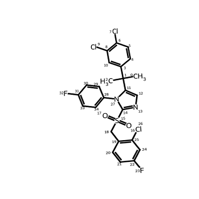 CC(C)(c1ccc(Cl)c(Cl)c1)c1cnc(S(=O)(=O)Cc2ccc(F)cc2Cl)n1-c1ccc(F)cc1